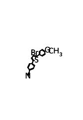 COc1ccc(-c2sc(-c3ccc(C#N)cc3)cc2Br)cc1